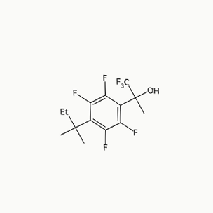 CCC(C)(C)c1c(F)c(F)c(C(C)(O)C(F)(F)F)c(F)c1F